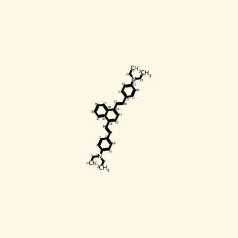 CCN(CC)c1ccc(C=Cc2ccc(C=Cc3ccc(N(CC)CC)cc3)c3ccccc23)cc1